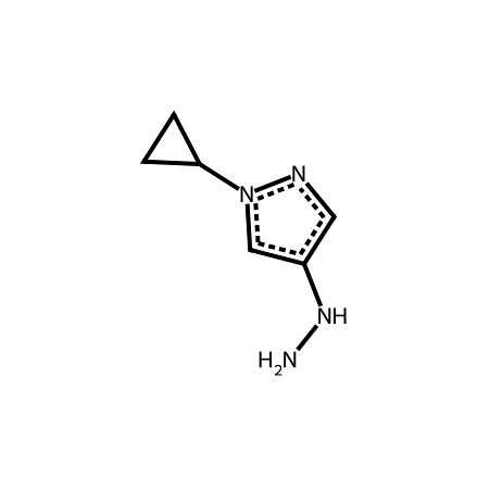 NNc1cnn(C2CC2)c1